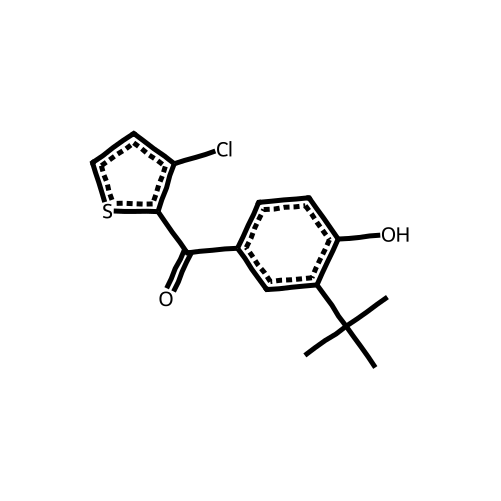 CC(C)(C)c1cc(C(=O)c2sccc2Cl)ccc1O